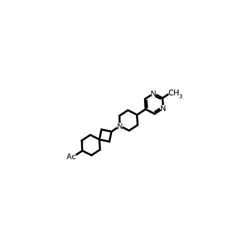 CC(=O)C1CCC2(CC1)CC(N1CCC(c3cnc(C)nc3)CC1)C2